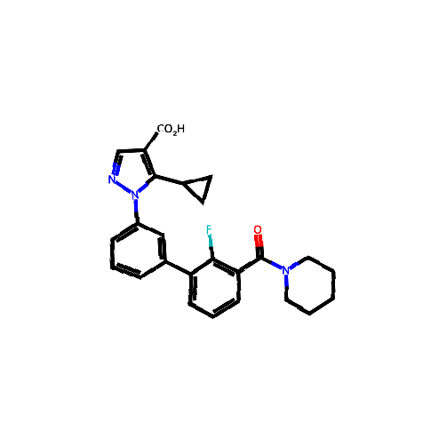 O=C(O)c1cnn(-c2cccc(-c3cccc(C(=O)N4CCCCC4)c3F)c2)c1C1CC1